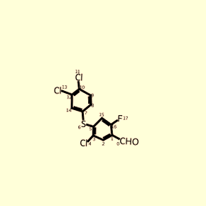 O=Cc1cc(Cl)c(Sc2ccc(Cl)c(Cl)c2)cc1F